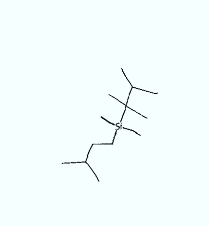 CC(C)CC[Si](C)(C)C(C)(C)C(C)C